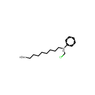 CCCCCCCCCCCCCCCCCC[SiH](CCl)c1ccccc1